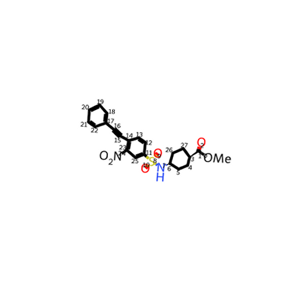 COC(=O)[C@H]1CC[C@H](NS(=O)(=O)c2ccc(C#Cc3ccccc3)c([N+](=O)[O-])c2)CC1